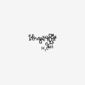 CNC(=O)c1csc2c(C(F)(F)F)c(C)c(OC3CN(C(=O)OCCOC(F)(F)F)C3)nc12